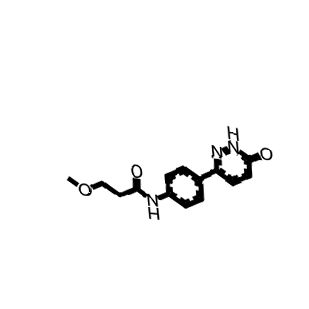 COCCC(=O)Nc1ccc(-c2ccc(=O)[nH]n2)cc1